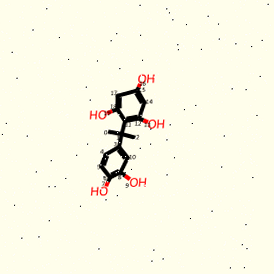 CC(C)(c1ccc(O)c(O)c1)c1c(O)cc(O)cc1O